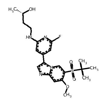 COc1cc2ncc(-c3cc(F)nc(NCC[C@H](C)O)c3)n2cc1S(=O)(=O)C(C)(C)C